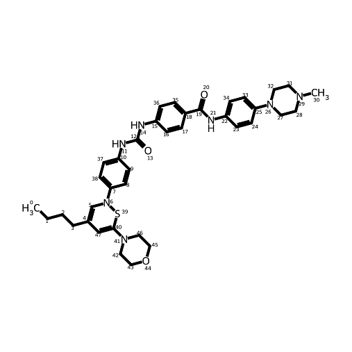 CCCCC1=CN(c2ccc(NC(=O)Nc3ccc(C(=O)Nc4ccc(N5CCN(C)CC5)cc4)cc3)cc2)SC(N2CCOCC2)=C1